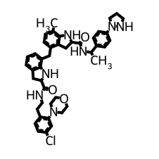 Cc1ccc(Cc2cccc3c2NC(C(=O)NCCc2ccc(Cl)cc2N2CCOCC2)C3)c2c1NC(C(=O)NC(C)c1ccc(N3CCCN3)cc1)C2